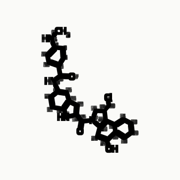 CNc1ccc(C(=O)Nc2ccc3[nH]c(C(=O)N4C[C@@H](CCl)c5c4cc(O)c4ccccc54)cc3c2)cc1